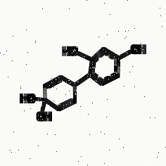 Oc1ccc(C2C=CC(O)(O)C=C2)c(O)c1